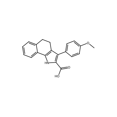 COc1ccc(-c2c(C(=O)O)[nH]c3c2CCc2ccccc2-3)cc1